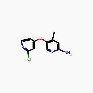 Cc1cc(N)ncc1Oc1ccnc(Cl)c1